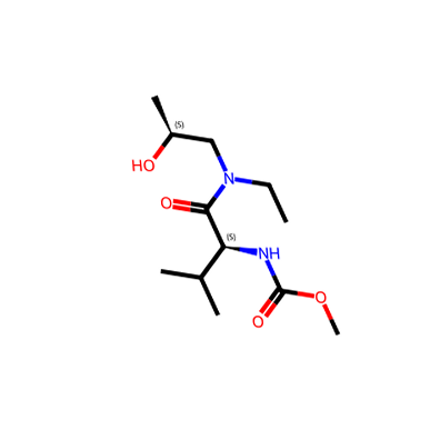 CCN(C[C@H](C)O)C(=O)[C@@H](NC(=O)OC)C(C)C